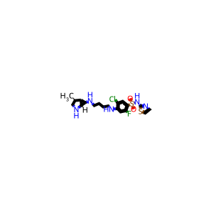 C[C@H]1CN[C@@H]2C(NCCCCNc3cc(F)c(S(=O)(=O)Nc4nccs4)cc3Cl)C21